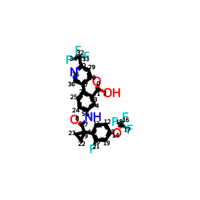 O=C(O)c1cc(NC(=O)C2(c3ccc(OC(F)(F)F)cc3F)CC2)ccc1-c1ccc(C(F)(F)F)nc1